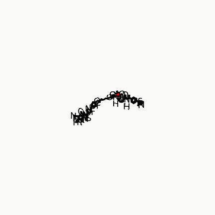 Cc1ncsc1-c1ccc(C(C)NC(=O)C2CCCN2C(=O)C(NC(=O)COCCCCCOc2ccc(-c3ncc(N(C(=S)N(C)c4ccc(C#N)c(C(F)(F)F)c4F)C(C)(C)C=O)cc3F)cc2F)C(C)(C)C)cc1